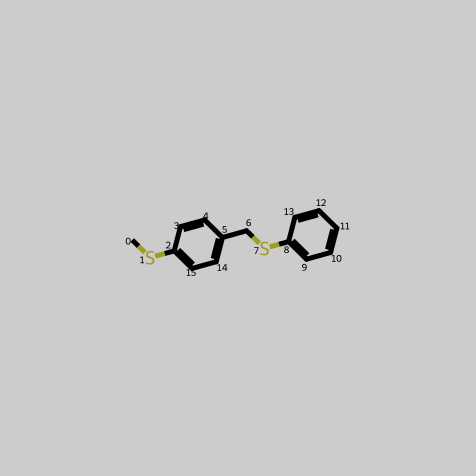 CSc1ccc(CSc2ccccc2)cc1